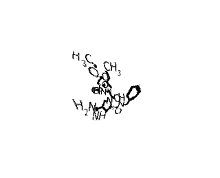 CCCCC[C@@H](NS(=O)(=O)CC(=O)OCC)C(=O)N1CC(C(=N)N)C[C@H]1C(=O)NCc1ccccc1